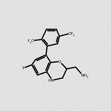 NCC1CNc2cc(F)cc(-c3cc(C(F)(F)F)ccc3C(F)(F)F)c2O1